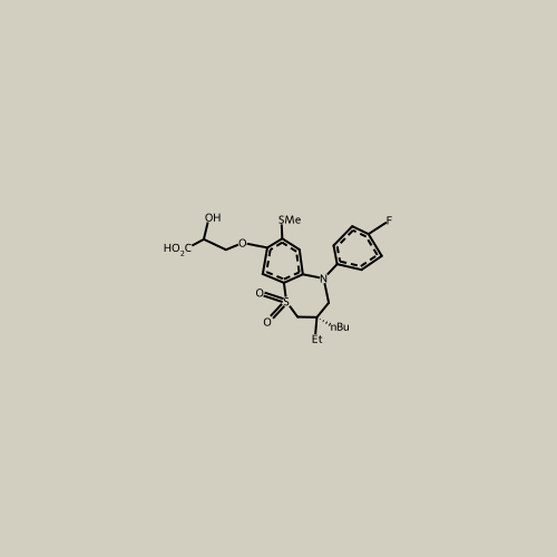 CCCC[C@@]1(CC)CN(c2ccc(F)cc2)c2cc(SC)c(OCC(O)C(=O)O)cc2S(=O)(=O)C1